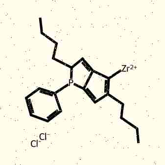 CCCCC1=[C]([Zr+2])C2=CC(CCCC)P(c3ccccc3)C2=C1.[Cl-].[Cl-]